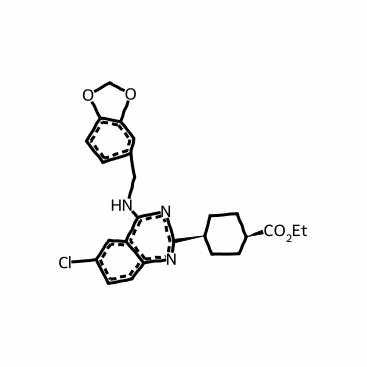 CCOC(=O)[C@H]1CC[C@@H](c2nc(NCc3ccc4c(c3)OCO4)c3cc(Cl)ccc3n2)CC1